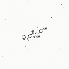 O=C(c1ccc(NC(CCc2ccc(O)cc2)C(=O)O)cc1)c1ccccn1